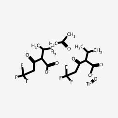 CC(C)=O.CC(C)C(C(=O)[O-])C(=O)CC(F)(F)F.CC(C)C(C(=O)[O-])C(=O)CC(F)(F)F.[O]=[Ti+2]